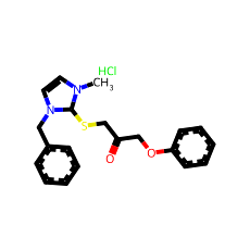 CN1C=CN(Cc2ccccc2)C1SCC(=O)COc1ccccc1.Cl